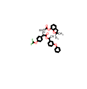 CC(C)[C@H](C(=O)OC(C#N)c1cccc(Oc2ccccc2)c1)c1ccc(OC(F)F)cc1.CNC(=O)Oc1cccc2c1OC(C)(C)C2